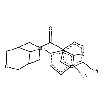 CC(C)c1ccc(C(=O)N2CC3COCC(C2)C3Oc2ccc(C#N)c(Cl)c2)cc1